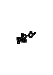 O=c1[nH]c2cc(-c3ccc(F)nc3)cnc2[nH]1